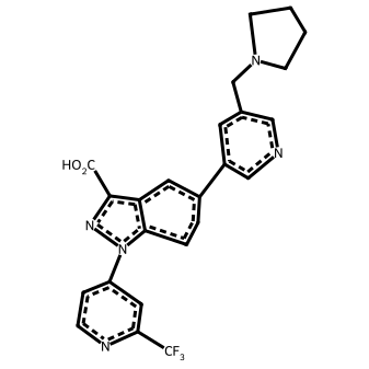 O=C(O)c1nn(-c2ccnc(C(F)(F)F)c2)c2ccc(-c3cncc(CN4CCCC4)c3)cc12